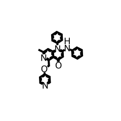 Cc1cc2c(c(COc3ccncc3)n1)c(=O)cc(Nc1ccccc1)n2-c1ccccc1